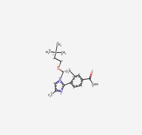 COC(=O)c1ccc(-c2nc(C(F)(F)F)cn2COCC[Si](C)(C)C)c([N+](=O)[O-])c1